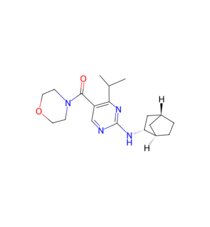 CC(C)c1nc(N[C@@H]2C[C@@H]3CC[C@@H]2C3)ncc1C(=O)N1CCOCC1